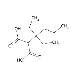 CCCC(CC)(CC)C(C(=O)O)C(=O)O